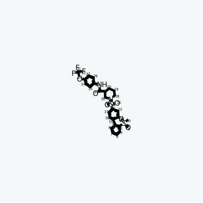 CS(=O)(=O)c1ccccc1-c1ccc(S(=O)(=O)N2CCCC(C(=O)Nc3ccc(OC(F)(F)F)cc3)C2)cc1